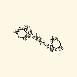 COc1cc2cc(c1Cl)N(C)C(=O)CC(OC(=O)C(C)N(C)C(=O)CCSC(=O)CCNC(=O)CNC(=O)CNC(=O)CNC(=O)CCCN1C(=O)CC(SCCC(=O)N(C)C(C)C(=O)OC3CC(=O)N(C)c4cc(cc(OC)c4Cl)C/C(C)=C/C=C/C(OC)C4(O)CC(OC(=O)N4)C(C)C4OC34C)C1=O)C1(C)OC1C(C)C1CC(O)(NC(=O)O1)C(OC)/C=C/C=C(\C)C2